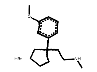 Br.CNCCC1(c2cccc(OC)c2)CCCC1